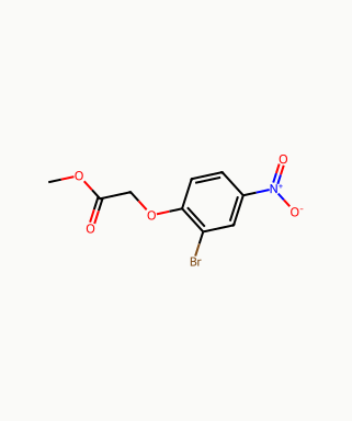 COC(=O)COc1ccc([N+](=O)[O-])cc1Br